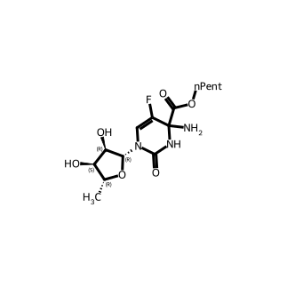 CCCCCOC(=O)C1(N)NC(=O)N([C@@H]2O[C@H](C)[C@@H](O)[C@H]2O)C=C1F